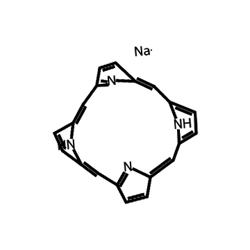 C1=Cc2cc3ccc(cc4nc(cc5ccc(cc1n2)[nH]5)C=C4)[nH]3.[Na]